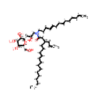 CCCCCCCCCC=CCCCN(CC(O)C[C@@H]1O[C@H](CO)[C@@H](O)[C@H](O)[C@H]1O)C(=O)CC(CCC)CCCCCCCCCCCCC